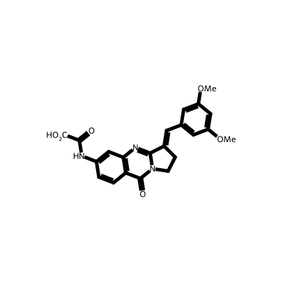 COc1cc(C=C2CCn3c2nc2cc(NC(=O)C(=O)O)ccc2c3=O)cc(OC)c1